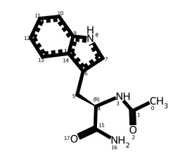 CC(=O)N[C@H](Cc1c[nH]c2ccccc12)C(N)=O